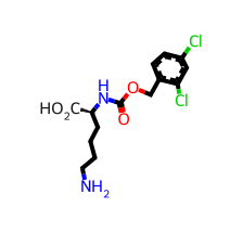 NCCCC[C@H](NC(=O)OCc1ccc(Cl)cc1Cl)C(=O)O